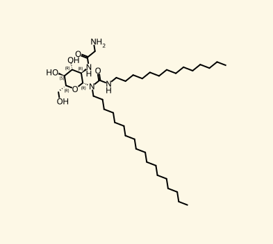 CCCCCCCCCCCCCCCCCCN(C(=O)NCCCCCCCCCCCCCC)[C@@H]1O[C@H](CO)[C@@H](O)[C@H](O)[C@H]1NC(=O)CN